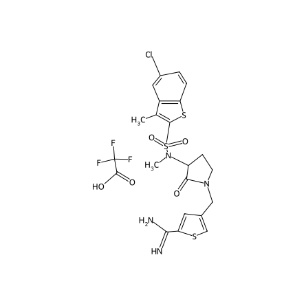 Cc1c(S(=O)(=O)N(C)C2CCN(Cc3csc(C(=N)N)c3)C2=O)sc2ccc(Cl)cc12.O=C(O)C(F)(F)F